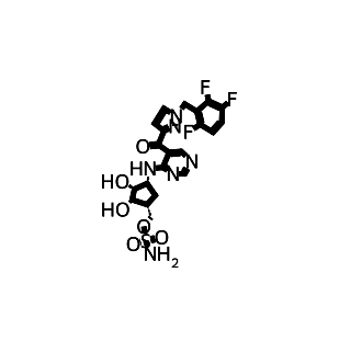 NS(=O)(=O)OC[C@H]1C[C@@H](Nc2ncncc2C(=O)c2ccn(Cc3c(F)ccc(F)c3F)n2)[C@H](O)[C@@H]1O